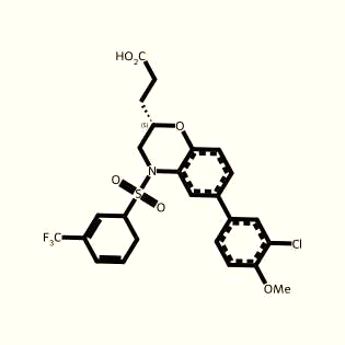 COc1ccc(-c2ccc3c(c2)N(S(=O)(=O)C2C=C(C(F)(F)F)C=CC2)C[C@H](CCC(=O)O)O3)cc1Cl